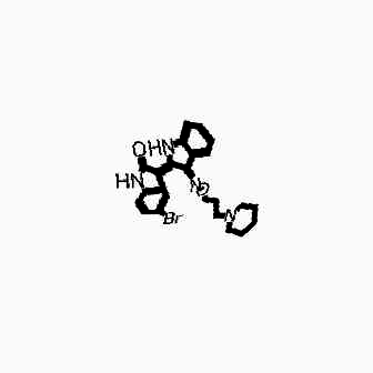 O=C1Nc2ccc(Br)cc2/C1=C1/Nc2ccccc2/C1=N\OCCCN1CCCCC1